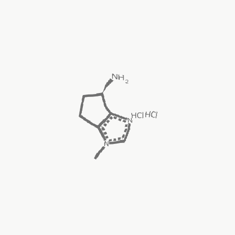 Cl.Cl.Cn1cnc2c1CC[C@H]2N